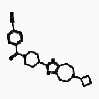 N#Cc1ccc(C(=O)N2CCC(c3nc4c(s3)CCN(C3CCC3)CC4)CC2)cc1